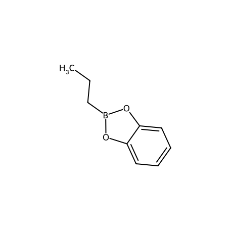 CCCB1Oc2ccccc2O1